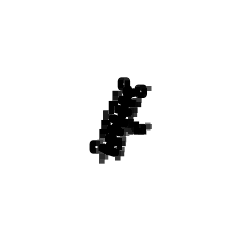 O=C([O-])C(F)(F)C(F)(F)C(F)(F)C(F)(F)C(F)(F)C(F)(F)Cl.[Na+]